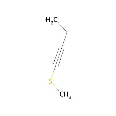 [CH2]CC#CSC